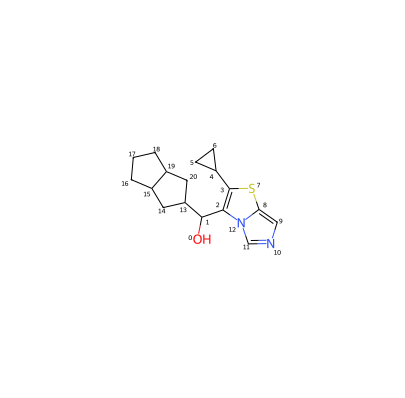 OC(c1c(C2CC2)sc2cncn12)C1CC2CCCC2C1